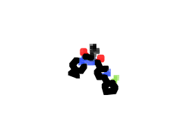 C[C@H](NC(=O)c1ccc(-c2ccccc2F)nc1)C(=O)N1CCC2(CC1)CC2